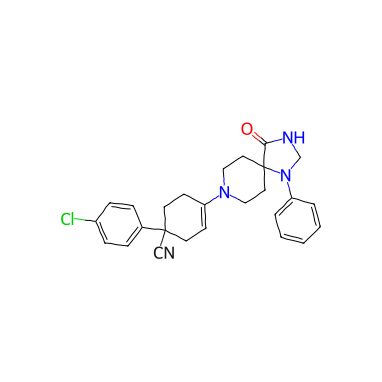 N#CC1(c2ccc(Cl)cc2)CC=C(N2CCC3(CC2)C(=O)NCN3c2ccccc2)CC1